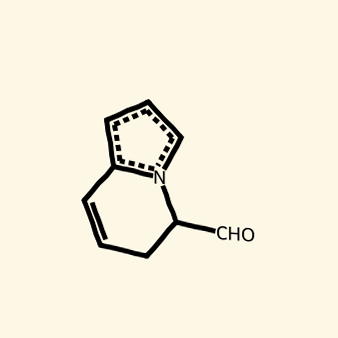 O=CC1CC=Cc2cccn21